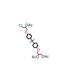 CC(=O)OCC(COc1ccc(C(C)(C)c2ccc(OCC(CCl)OC(C)=O)cc2)cc1)OC(C)=O